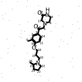 Cc1cc(C(=O)CN2CCNC(=O)C2)ccc1OCCCN1CCCC1C